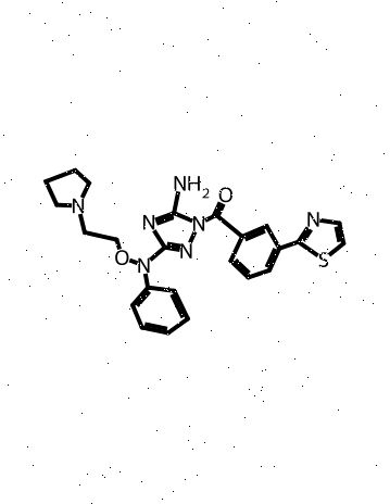 Nc1nc(N(OCCN2CCCC2)c2ccccc2)nn1C(=O)c1cccc(-c2nccs2)c1